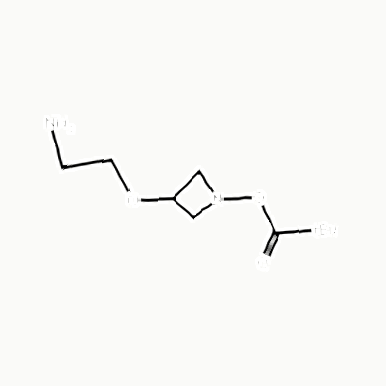 CC(C)(C)C(=O)ON1CC(OCCN)C1